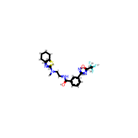 CN(CCNC(=O)c1cccc(-c2noc(C(F)(F)F)n2)c1)c1nc2c(s1)CCCC2